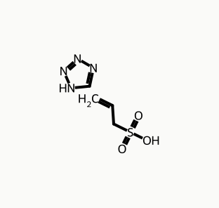 C=CCS(=O)(=O)O.c1nnn[nH]1